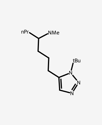 CCCC(CCCc1cnnn1C(C)(C)C)NC